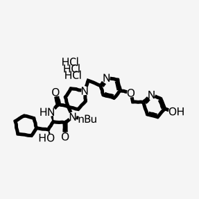 CCCCN1C(=O)[C@@H]([C@H](O)C2CCCCC2)NC(=O)C12CCN(Cc1ccc(OCc3ccc(O)cn3)cn1)CC2.Cl.Cl.Cl